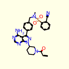 C=CC(=O)N1CCCC(n2nc(-c3ccc(CN(C)S(=O)(=O)c4ccccc4C#N)cc3)c3c(N)ncnc32)C1